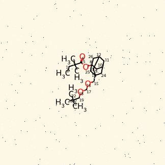 CCC(C)(C)C(=O)OC12CC3CC(CC(COCOCC(C)(C)C)(C3)C1)C2